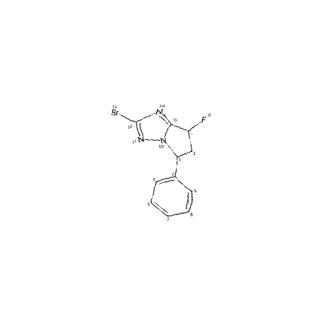 FC1CC(c2ccccc2)n2nc(Br)nc21